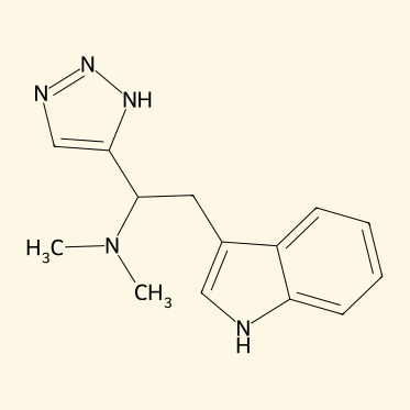 CN(C)C(Cc1c[nH]c2ccccc12)c1cnn[nH]1